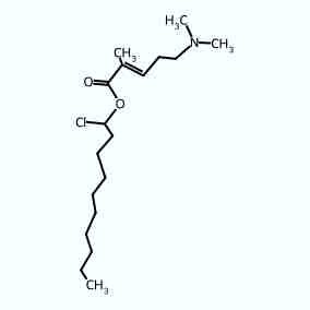 CCCCCCCCCC(Cl)OC(=O)C(C)=CCCN(C)C